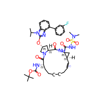 CC(C)n1c(O[C@@H]2C[C@H]3C(=O)N[C@]4(C(=O)NS(=O)(=O)N(C)C)C[C@H]4/C=C\CCCCC[C@H](NC(=O)OC(C)(C)C)C(=O)N3C2)nc2c(-c3cccc(F)c3)cccc21